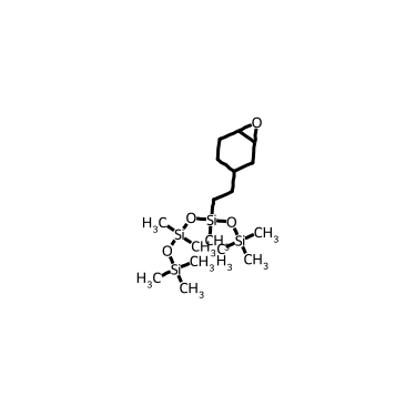 C[Si](C)(C)O[Si](C)(C)O[Si](C)(CCC1CCC2OC2C1)O[Si](C)(C)C